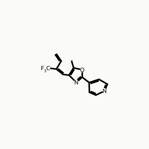 C=C/C(=C\c1nc(-c2ccncc2)oc1C)C(F)(F)F